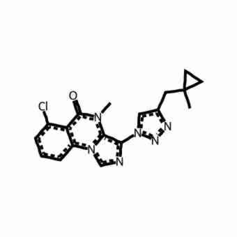 Cn1c(=O)c2c(Cl)cccc2n2cnc(-n3cc(CC4(C)CC4)nn3)c12